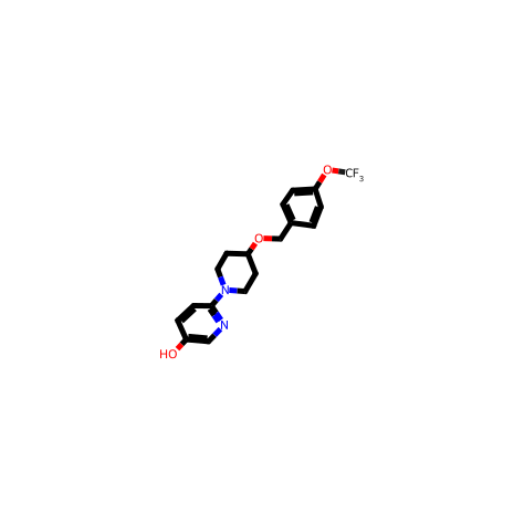 Oc1ccc(N2CCC(OCc3ccc(OC(F)(F)F)cc3)CC2)nc1